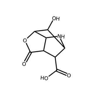 O=C(O)C1C2NC3C(OC(=O)C31)C2O